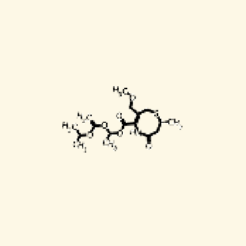 C=C(OC(C)C)OC(C)OC(=O)/C1=C(\COC)CS[C@@H](C)CC(=O)N1